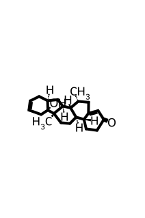 C[C@@H]1CC2=CC(=O)CC[C@@H]2[C@H]2CC[C@@]3(C)[C@@H](C[C@@H]4CC=CC[C@@]43O)[C@@H]21